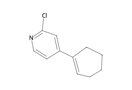 Clc1cc(C2=CCCCC2)ccn1